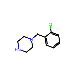 Clc1ccccc1[CH]N1CCNCC1